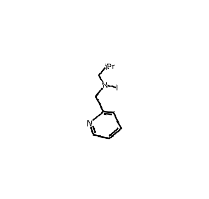 CC(C)CN(I)Cc1ccccn1